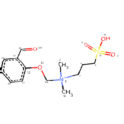 C[N+](C)(CCCS(=O)(=O)O)COc1ccccc1C=O